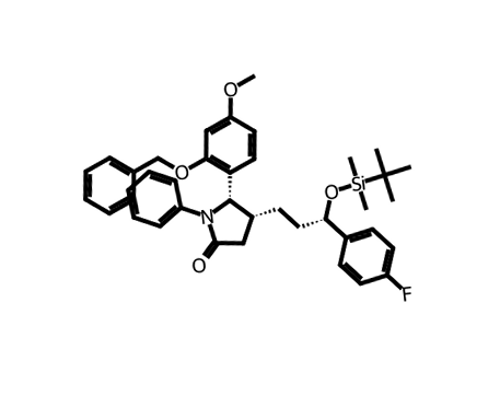 COc1ccc([C@@H]2[C@H](CC[C@H](O[Si](C)(C)C(C)(C)C)c3ccc(F)cc3)CC(=O)N2c2ccccc2)c(OCc2ccccc2)c1